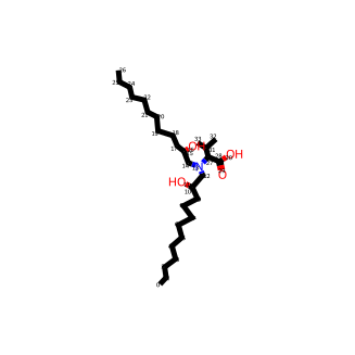 CCCCCCCCCCC(O)CN(CC(O)CCCCCCCCCC)C(C(=O)O)C(C)C